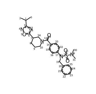 CC(C)c1noc(C2CCCN(C(=O)c3ccc(N(Cc4ccccc4)S(=O)(=O)N(C)C)cc3)C2)n1